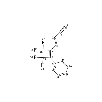 N#CC=CC1=C(c2ccccc2)C(F)(F)C1(F)F